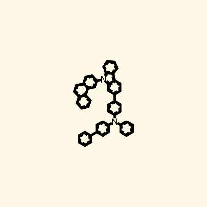 c1ccc(-c2ccc(N(c3ccccc3)c3ccc(-c4ccc5c6ccccc6n(-c6ccc7ccc8ccccc8c7c6)c5c4)cc3)cc2)cc1